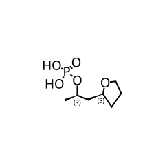 C[C@H](C[C@@H]1CCCO1)OP(=O)(O)O